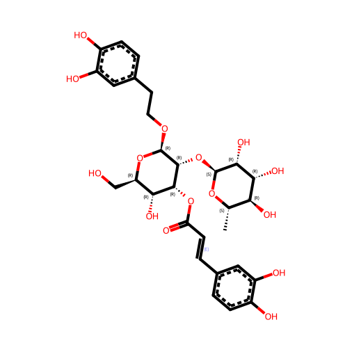 C[C@@H]1O[C@@H](O[C@H]2[C@H](OCCc3ccc(O)c(O)c3)O[C@H](CO)[C@@H](O)[C@H]2OC(=O)/C=C/c2ccc(O)c(O)c2)[C@H](O)[C@H](O)[C@H]1O